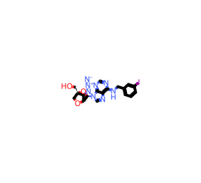 [N-]=[N+]=NC1C2OC[C@@]1(CO)O[C@H]2n1cnc2c(NCc3cccc(I)c3)ncnc21